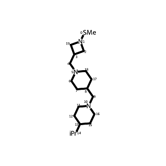 CSN1CC(CN2CCC(CN3CCC(C(C)C)CC3)CC2)C1